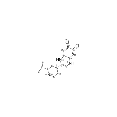 CC(C)C1CN(C2=CNC3C=C(Cl)C(Cl)=CC3N2)CCN1